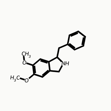 COc1cc2c(cc1OC)C(Cc1ccccc1)NC2